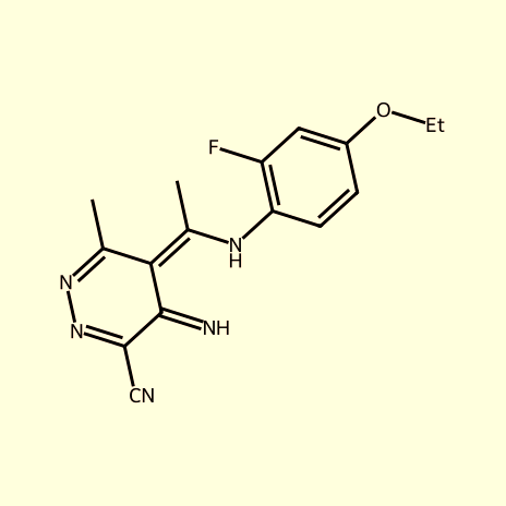 CCOc1ccc(N/C(C)=C2\C(=N)C(C#N)=NN=C2C)c(F)c1